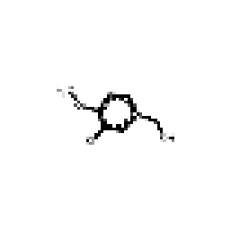 COc1ccc([CH]O)cc1Cl